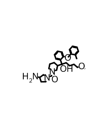 COCCCCC(O)(c1ccccc1Oc1ccccc1C)C1CCCN(C(=O)N2CCC(N)C2)C1